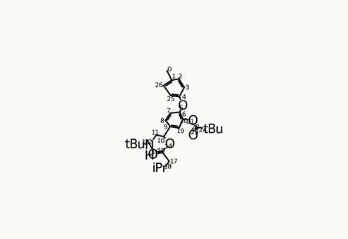 Cc1ccc(Oc2ccc(C(CNC(C)(C)C)OC(=O)CC(C)C)cc2OC(=O)C(C)(C)C)cc1